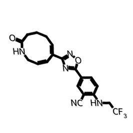 N#Cc1cc(-c2nc(C3=C/CCCC(=O)NC/C=C\3)no2)ccc1NCC(F)(F)F